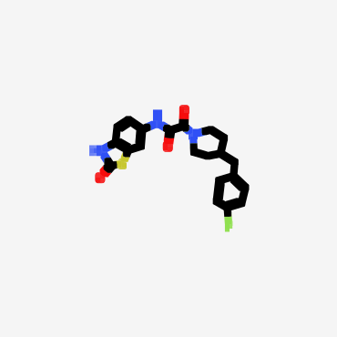 O=C(Nc1ccc2[nH]c(=O)sc2c1)C(=O)N1CCC(Cc2ccc(F)cc2)CC1